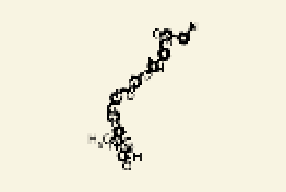 Cc1nn(C2CCC(=O)NC2=O)c(=O)c2ccc(N3CCN(CC4CCN(CC(=O)N5CCC(COc6cnc(-c7cccc(Cn8nc(-c9cccc(C#N)c9)ccc8=O)c7)nc6)CC5)CC4)CC3)cc12